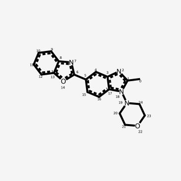 Cc1nc2cc(-c3nc4ccccc4o3)ccc2n1N1CCOCC1